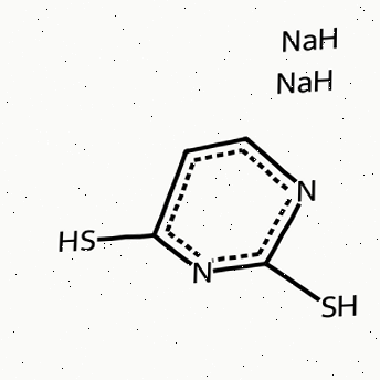 Sc1ccnc(S)n1.[NaH].[NaH]